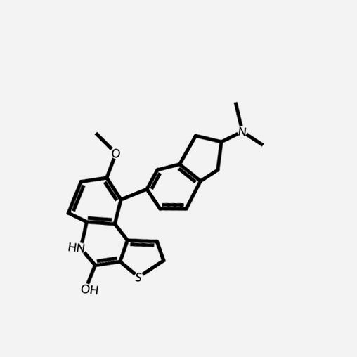 COc1ccc2c(c1-c1ccc3c(c1)CC(N(C)C)C3)C1=CCSC1=C(O)N2